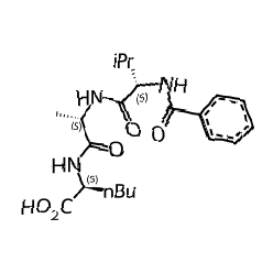 CCCC[C@H](NC(=O)[C@H](C)NC(=O)[C@@H](NC(=O)c1ccccc1)C(C)C)C(=O)O